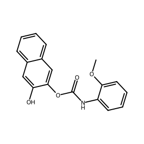 COc1ccccc1NC(=O)Oc1cc2ccccc2cc1O